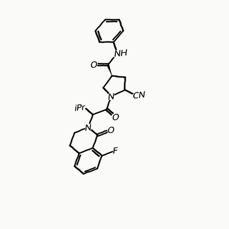 CC(C)C(C(=O)N1C[C@@H](C(=O)Nc2ccccc2)CC1C#N)N1CCc2cccc(F)c2C1=O